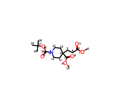 COC(=O)CCC1(C(=O)OC)CCN(C(=O)OC(C)(C)C)CC1